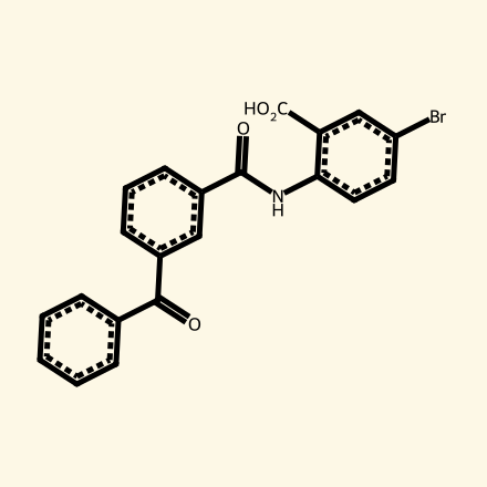 O=C(Nc1ccc(Br)cc1C(=O)O)c1cccc(C(=O)c2ccccc2)c1